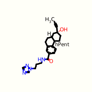 CC#C[C@@]1(O)CC[C@@]2(CCCCC)c3ccc(C(=O)NCCCn4cncn4)cc3CC[C@@H]2C1